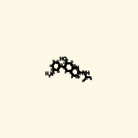 CC(C)Nc1ncc2cc(-c3cccc(N)c3)c(O)cc2n1